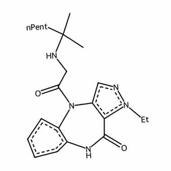 CCCCCC(C)(C)NCC(=O)N1c2ccccc2NC(=O)c2c1cnn2CC